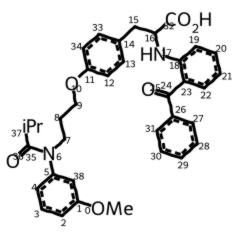 COc1cccc(N(CCCOc2ccc(CC(Nc3ccccc3C(=O)c3ccccc3)C(=O)O)cc2)C(=O)C(C)C)c1